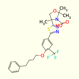 CC1(C)OCC(C)(c2nnc(-c3ccc(OCCCCc4ccccc4)c(C(F)(F)F)c3)s2)N1C(=O)O